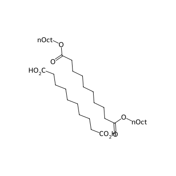 CCCCCCCCOC(=O)CCCCCCCCC(=O)OCCCCCCCC.O=C(O)CCCCCCCCC(=O)O